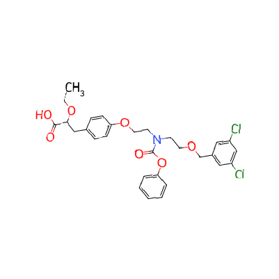 CCOC(Cc1ccc(OCCN(CCOCc2cc(Cl)cc(Cl)c2)C(=O)Oc2ccccc2)cc1)C(=O)O